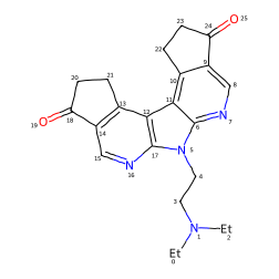 CCN(CC)CCn1c2ncc3c(c2c2c4c(cnc21)C(=O)CC4)CCC3=O